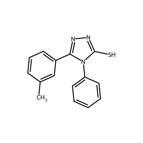 Cc1cccc(-c2nnc(S)n2-c2ccccc2)c1